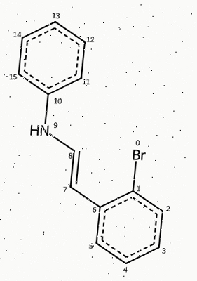 Brc1ccccc1C=CNc1ccccc1